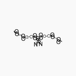 C=CC(=O)OCCCCOC(=O)C1CCC(C2CCC(C(=O)Oc3cc(C)c(OC(=O)C4CCC(C5CCC(C(=O)OCCCCOC(=O)C=C)CC5)CC4)c4c3SC(=C(C#N)C#N)S4)CC2)CC1